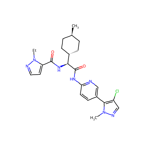 CCn1nccc1C(=O)N[C@H](C(=O)Nc1ccc(-c2c(Cl)cnn2C)cn1)[C@H]1CC[C@H](C)CC1